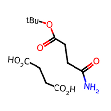 CC(C)(C)OC(=O)CCC(N)=O.O=C(O)CCC(=O)O